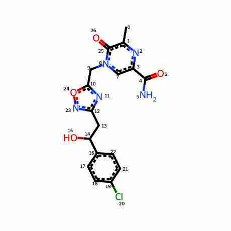 Cc1nc(C(N)=O)cn(Cc2nc(CC(O)c3ccc(Cl)cc3)no2)c1=O